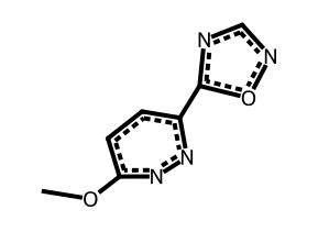 COc1ccc(-c2ncno2)nn1